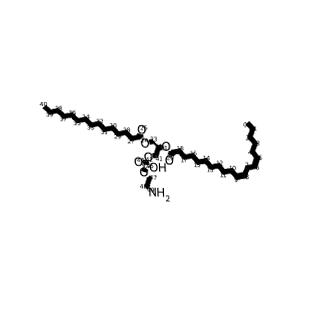 CCCCC/C=C\C/C=C\CCCCCCCCCC(=O)O[C@H](COC(=O)CCCCCCCCCCCCCC)COP(=O)(O)OCCN